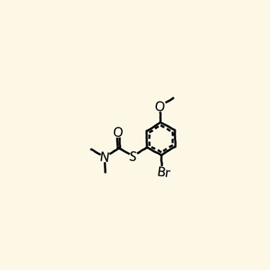 COc1ccc(Br)c(SC(=O)N(C)C)c1